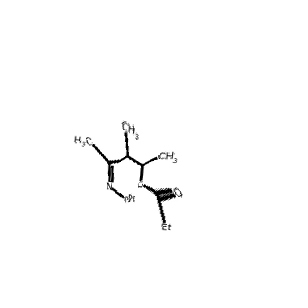 CCCN=C(C)C(C)C(C)OC(=O)CC